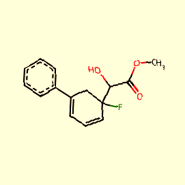 COC(=O)C(O)C1(F)C=CC=C(c2ccccc2)C1